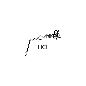 CCCCCCCC/C=C\CCCCCCCCNCCC[Si](OCC)(OCC)OCC.Cl